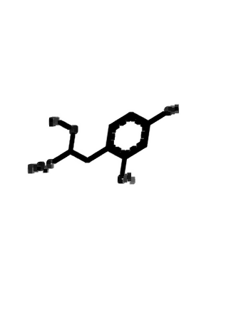 CCOC(=O)C(Cc1ccc(O)cc1C)OCC